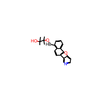 CC(C)(O)C(C)(C)OBc1cccc2c1ccc1c3cnccc3oc21